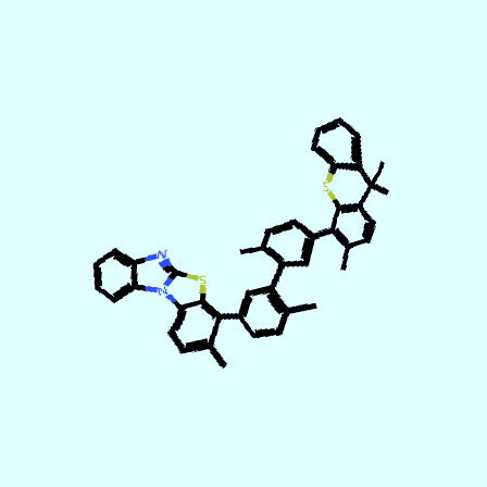 Cc1ccc(-c2c(C)ccc3c2Sc2ccccc2C3(C)C)cc1-c1cc(-c2c(C)ccc3c2sc2nc4ccccc4n23)ccc1C